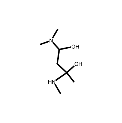 CNC(C)(O)CC(O)N(C)C